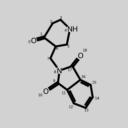 O=C1CCNCC1CN1C(=O)c2ccccc2C1=O